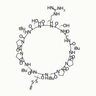 C#CSSC(C)(C)[C@@H]1NC(=O)[C@H]([C@@H](C)CC)NC(=O)[C@@H]2CCCN2C(=O)[C@@H]2CCCN2C(=O)[C@H](CC(C)(C)C)NC(=O)[C@H](CO)NC(=O)[C@H](CCCNC(=N)N)NC(=O)[C@H](CO)NC(=O)CNC(=O)[C@@H]([C@@H](C)CC)NC(=O)[C@@H]2CCCN2C(=O)[C@@H]2CCCN2C(=O)[C@H]([C@@H](C)CC)NC1=O